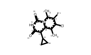 Cc1c(Cl)c(F)c(C)n2c(=O)[nH]c(=O)c(C3CC3)c12